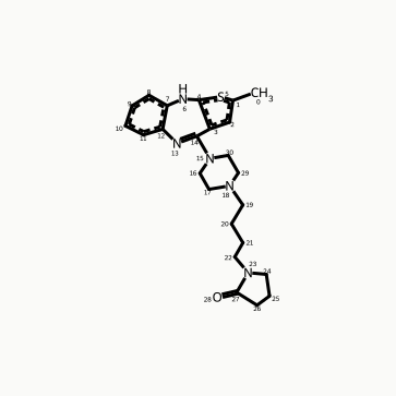 Cc1cc2c(s1)Nc1ccccc1N=C2N1CCN(CCCCN2CCCC2=O)CC1